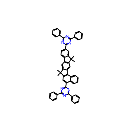 CC1(C)c2cc(-c3nc(-c4ccccc4)nc(-c4ccccc4)n3)ccc2-c2cc3c(cc21)-c1c(cc(-c2nc(-c4ccccc4)nc(-c4ccccc4)n2)c2ccccc12)C3(C)C